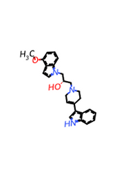 COc1cccc2c1ccn2C[C@@H](O)CN1CC=C(c2c[nH]c3ccccc23)CC1